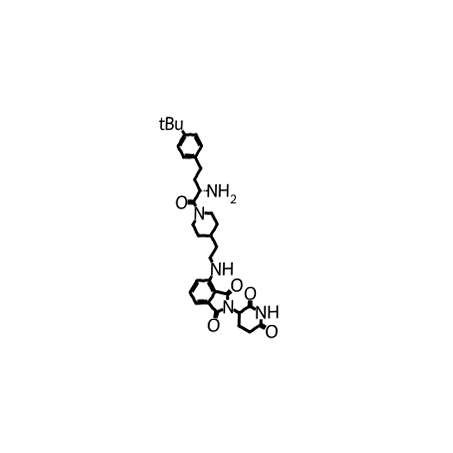 CC(C)(C)c1ccc(CC[C@H](N)C(=O)N2CCC(CCNc3cccc4c3C(=O)N(C3CCC(=O)NC3=O)C4=O)CC2)cc1